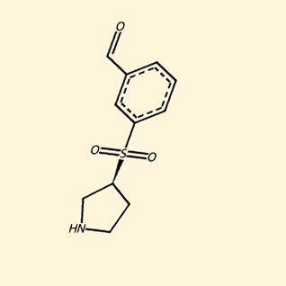 O=Cc1cccc(S(=O)(=O)[C@H]2CCNC2)c1